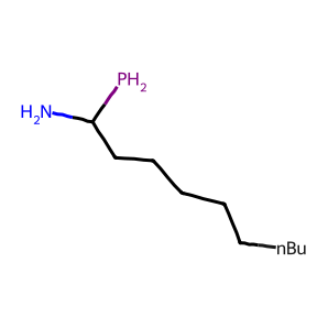 CCCCCCCCCC(N)P